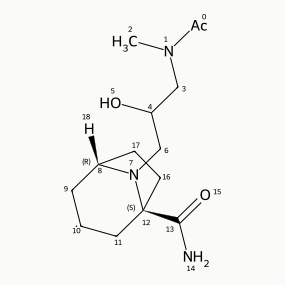 CC(=O)N(C)CC(O)CN1[C@@H]2C[CH]C[C@@]1(C(N)=O)CC2